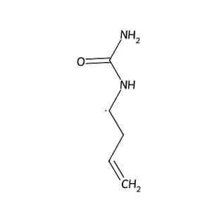 C=CC[CH]NC(N)=O